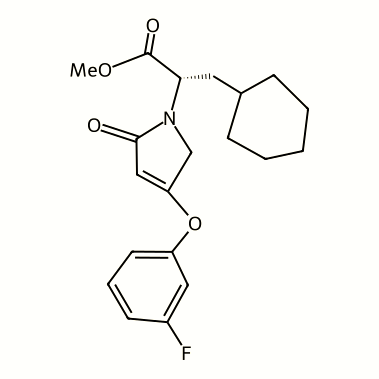 COC(=O)[C@H](CC1CCCCC1)N1CC(Oc2cccc(F)c2)=CC1=O